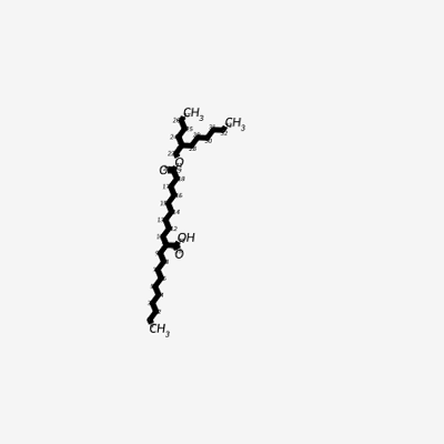 CCCCCCCCCCC(CCCCCCCCC(=O)OCC(CCCC)CCCCCC)C(=O)O